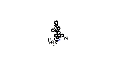 C=C/C=C\C1=C(C)C2C=CC=CC2N1c1cc(C#N)ccc1-c1ccc2c(c1)c1ccc3c4ccccc4oc3c1n2-c1ccccc1